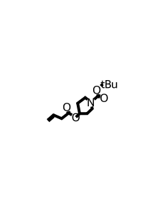 C=CCC(=O)OC1CCN(C(=O)OC(C)(C)C)CC1